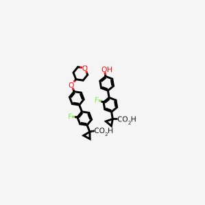 O=C(O)C1(c2ccc(-c3ccc(O)cc3)c(F)c2)CC1.O=C(O)C1(c2ccc(-c3ccc(OC4CCOCC4)cc3)c(F)c2)CC1